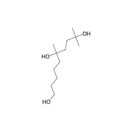 CC(C)(O)CCC(C)(O)CCCCCO